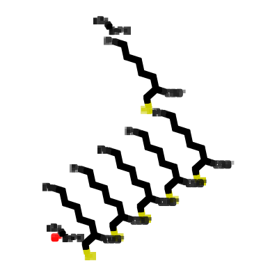 CC(C)CCCCCC(CS)C(=O)[O-].CC(C)CCCCCC(CS)C(=O)[O-].CC(C)CCCCCC(CS)C(=O)[O-].CC(C)CCCCCC(CS)C(=O)[O-].CC(C)CCCCCC(CS)C(=O)[O-].CC(C)CCCCCC(CS)C(=O)[O-].CCC[CH2][SnH+2].CCC[CH2][SnH+2].[O-2]